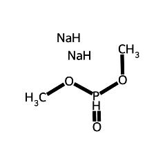 CO[PH](=O)OC.[NaH].[NaH]